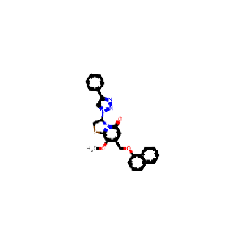 COc1c(COc2cccc3ccccc23)cc(=O)n2c1SC[C@H]2n1cc(-c2ccccc2)nn1